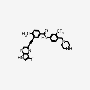 Cc1ccc(C(=O)Nc2ccc(CN3CCNCC3)c(C(F)(F)F)c2)cc1C#Cc1cnc2[nH]cc(F)c2n1